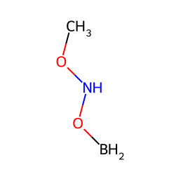 BONOC